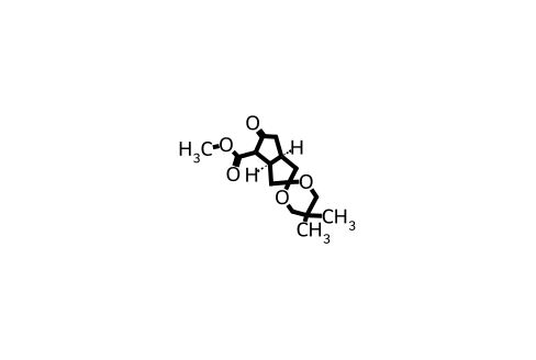 COC(=O)C1C(=O)C[C@H]2CC3(C[C@@H]12)OCC(C)(C)CO3